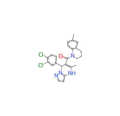 CC1=C(C(=O)N2CCCc3cc(C)ccc32)C(c2ccc(Cl)c(Cl)c2)n2nccc2N1